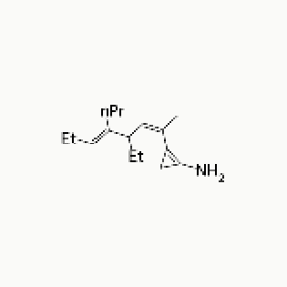 CC/C=C(\CCC)C(/C=C(/C)C1=C(N)C1)CC